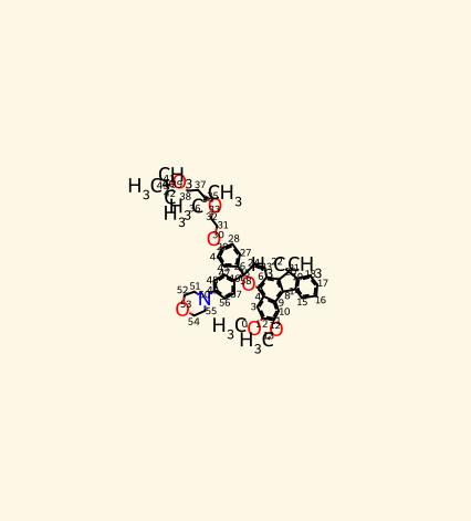 COc1cc2c3c(c4c(c2cc1OC)-c1ccccc1C4(C)C)C=CC(c1ccc(OCCOC(C)(C)CCOC(C)(C)C)cc1)(c1ccc(N2CCOCC2)cc1)O3